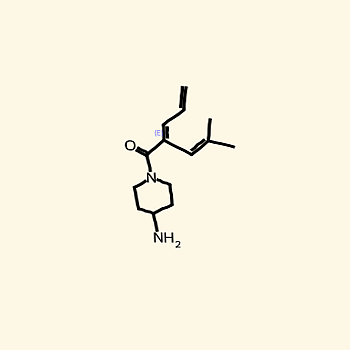 C=C/C=C(\C=C(C)C)C(=O)N1CCC(N)CC1